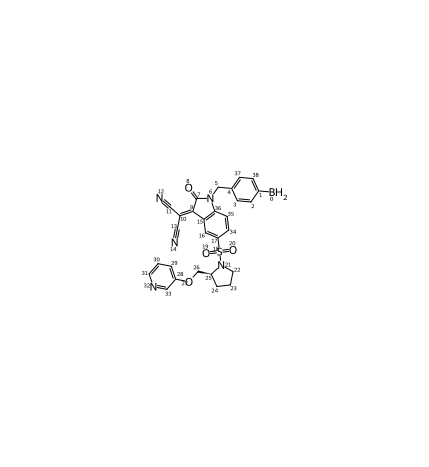 Bc1ccc(CN2C(=O)C(=C(C#N)C#N)c3cc(S(=O)(=O)N4CCC[C@H]4COc4cccnc4)ccc32)cc1